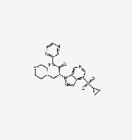 O=C(Nc1cnccn1)[C@H](CC1CCOCC1)n1ncc2c(S(=O)(=O)C3CC3)cncc21